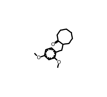 COc1ccc(CC2CCCCCCC2=O)c(OC)c1